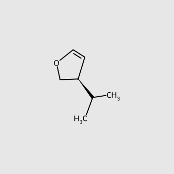 CC(C)[C@@H]1C=COC1